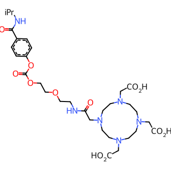 CC(C)NC(=O)c1ccc(OC(=O)OCCOCCNC(=O)CN2CCN(CC(=O)O)CCN(CC(=O)O)CCN(CC(=O)O)CC2)cc1